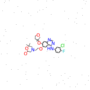 CC1(C)CN(CCOc2cc3c(Nc4ccc(F)c(Cl)c4)ncnc3cc2O[C@@H]2CCOC2)CC(=O)O1